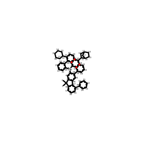 CC1(C)c2cc(N(c3ccc(C4CC5CCC4C5)cc3)c3ccccc3-c3ccccc3C3CCCCC3)c(-c3ccccc3)cc2-c2c(-c3ccccc3)cccc21